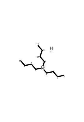 CCCCN(CCCC)CCCC.[H]